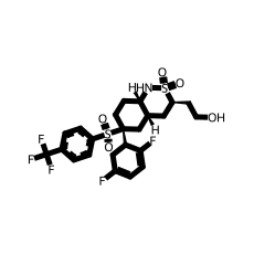 O=S1(=O)N[C@H]2CC[C@@](C3CC(F)=CC=C3F)(S(=O)(=O)c3ccc(C(F)(F)F)cc3)C[C@H]2C[C@@H]1CCO